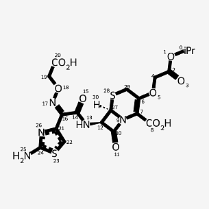 CC(C)OC(=O)COC1=C(C(=O)O)N2C(=O)[C@@H](NC(=O)/C(=N\OCC(=O)O)c3csc(N)n3)[C@H]2SC1